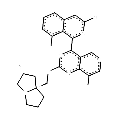 Nc1cc2cccc(Cl)c2c(-c2nc(OC[C@@]34CCCN3C[C@H](F)C4)nc3c(F)cncc23)n1